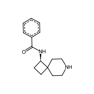 O=C(N[C@@H]1CCC12CCNCC2)c1ccccc1